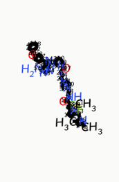 CC1=CC(C)=NC1Cc1ccc(CCC(=O)NCCN2CCN(C/C=C/C(=O)N3CCC[C@@H](n4nc(-c5ccc(Oc6ccccc6)cc5)c5c(N)ncnc54)C3)CC2)n1S(C)(F)F